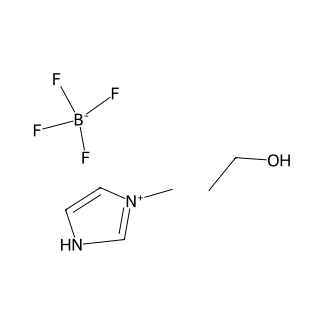 CCO.C[n+]1cc[nH]c1.F[B-](F)(F)F